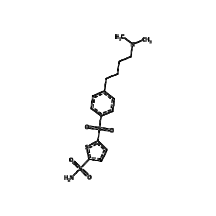 CN(C)CCCCc1ccc(S(=O)(=O)c2ccc(S(N)(=O)=O)s2)cc1